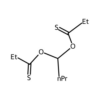 CCCC(OC(=S)CC)OC(=S)CC